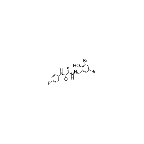 O=C(Nc1ccc(F)cc1)C(=S)N/N=C/c1cc(Br)cc(Br)c1O